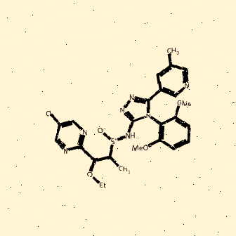 CCOC(c1ncc(Cl)cn1)C(C)[S+]([O-])Nc1nnc(-c2cncc(C)c2)n1-c1c(OC)cccc1OC